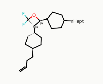 C=CCC[C@H]1CC[C@H]([C@H]2[C@H](C3CCC(CCCCCCC)CC3)OC2(F)F)CC1